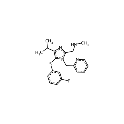 CNCc1nc(C(C)C)c(Sc2cccc(F)c2)n1Cc1ccccn1